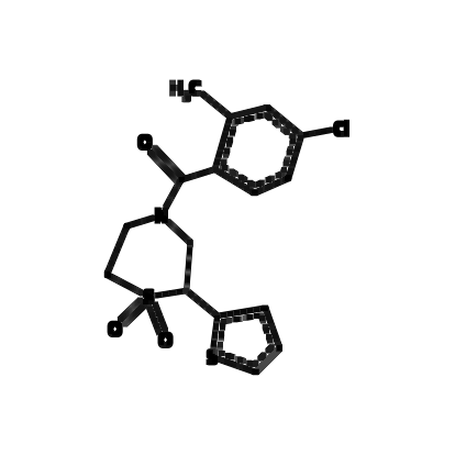 Cc1cc(Cl)ccc1C(=O)N1CCS(=O)(=O)C(c2cccs2)C1